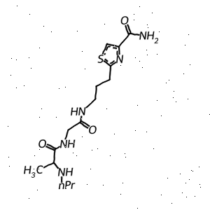 CCCNC(C)C(=O)NCC(=O)NCCCc1nc(C(N)=O)cs1